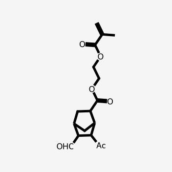 C=C(C)C(=O)OCCOC(=O)C1CC2CC1C(C(C)=O)C2C=O